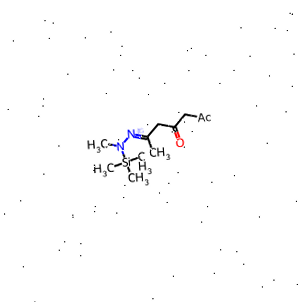 CC(=O)CC(=O)C/C(C)=N/N(C)[Si](C)(C)C